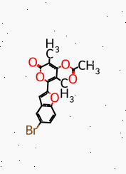 CC(=O)Oc1c(C)c(-c2cc3cc(Br)ccc3o2)oc(=O)c1C